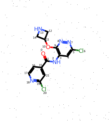 O=C(Nc1cc(Cl)nnc1OC1CNC1)c1ccnc(Cl)c1